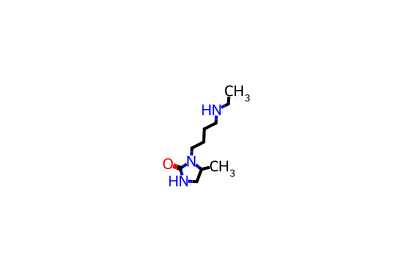 CCNCCCCN1C(=O)NCC1C